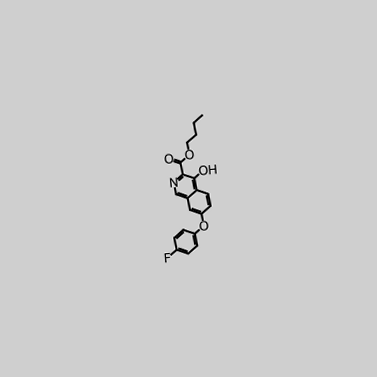 CCCCOC(=O)c1ncc2cc(Oc3ccc(F)cc3)ccc2c1O